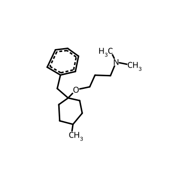 CC1CCC(Cc2ccccc2)(OCCCN(C)C)CC1